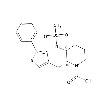 CS(=O)(=O)N[C@@H]1CCCN(C(=O)O)[C@@H]1Cc1csc(-c2ccccc2)n1